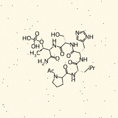 CC(=O)N1CCCC1C(=O)N[C@@H](CC(C)C)C(=O)N[C@@H](Cc1cnc[nH]1)C(=O)N[C@@H](CO)C(=O)NC(C(N)=O)[C@@H](C)OP(=O)(O)O